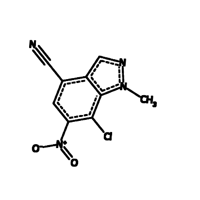 Cn1ncc2c(C#N)cc([N+](=O)[O-])c(Cl)c21